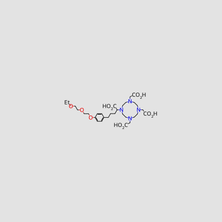 CCOCCOCCOc1ccc(CCC[C@@H](C(=O)O)N2CCN(CC(=O)O)CCN(CC(=O)O)CCN(CC(=O)O)CC2)cc1